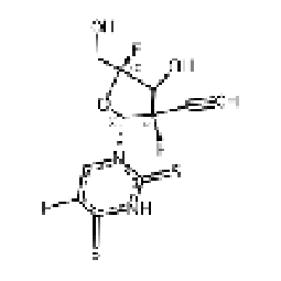 C#C[C@@]1(F)C(O)[C@@](F)(CO)O[C@H]1n1cc(F)c(=S)[nH]c1=S